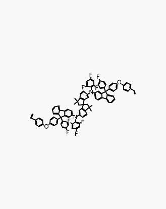 C=Cc1ccc(Oc2ccc(C3(c4ccc(F)cc4)c4ccccc4-c4ccc(N(c5ccc6c(c5)C5(CC6(C)C)CC(C)(C)c6ccc(N(c7ccc8c(c7)C(c7ccc(F)cc7)(c7ccc(Oc9ccc(C=C)cc9)cc7)c7ccccc7-8)c7c(F)cc(F)cc7F)cc65)c5c(F)cc(F)cc5F)cc43)cc2)cc1